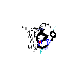 C=NC(=C)/C(F)=C\N(Cc1ccc(F)cc1)c1cc(/C=C(/C)C(C)CC)c(C)cc1C